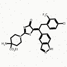 CCOC(=O)C1(N)CCN(C2=NC(=O)C(=C(Cc3ccc(Cl)cc3C(F)(F)F)c3ccc4[nH]ncc4c3)S2)CC1